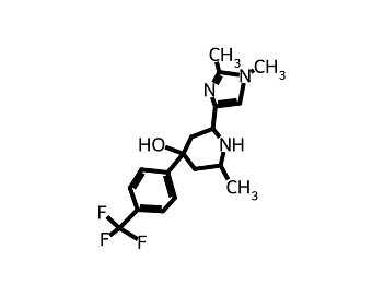 Cc1nc(C2CC(O)(c3ccc(C(F)(F)F)cc3)CC(C)N2)cn1C